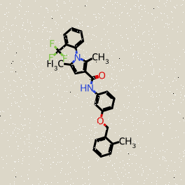 Cc1ccccc1COc1cccc(NC(=O)c2cc(C)n(-c3ccccc3C(F)(F)F)c2C)c1